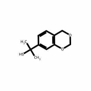 CC(C)(S)c1ccc2c(c1)OCOC2